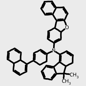 CC1(C)c2ccccc2C2=C(N(C3=CC4Oc5ccc6ccccc6c5C4C=C3)C3=CC=C(C4=CC=CC5C=CC=CC45)CC3)C=CCC21